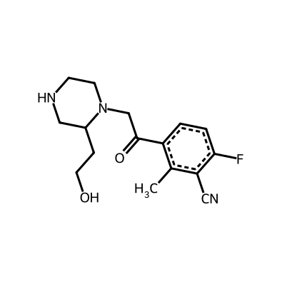 Cc1c(C(=O)CN2CCNCC2CCO)ccc(F)c1C#N